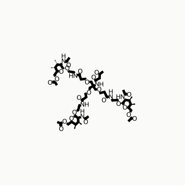 CC(=O)CC(=O)NC(COCCC(=O)NCCO[C@@H]1OC(COC(C)=O)[C@H](C)[C@H](C)C1NC(C)=O)(COCCC(=O)NCCO[C@@H]1OC(COC(C)=O)[C@H](C)[C@H](C)C1NC(C)=O)COCCC(=O)NCCO[C@@H]1OC(COC(C)=O)[C@H](C)[C@H](C)C1NC(C)=O